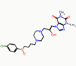 Cn1c(=O)c2c(ncn2CC(O)CN2CCN(CCCC[S+]([O-])c3ccc(Cl)cc3)CC2)n(C)c1=O